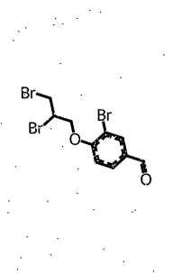 O=Cc1ccc(OCC(Br)CBr)c(Br)c1